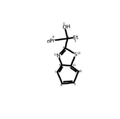 CCCC(O)(CC)c1nc2ccccc2s1